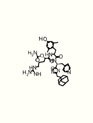 Cc1cc(O)cc(C)c1CC(NC(=O)C(CCCNC(=N)N)OC(N)=O)C(=O)N[C@@H](Cc1ccncc1)c1nc(CC23CC4CC(CC(C4)C2)C3)no1